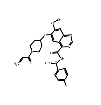 C=CC(=O)N1CCC(Oc2cc3c(C(=O)N[C@H](C)c4ccc(F)cc4)ncnc3cc2OC)CC1